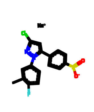 Cc1cc(-n2nc(Cl)cc2-c2ccc(S(=O)[O-])cc2)ccc1F.[Na+]